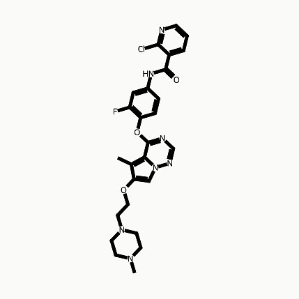 Cc1c(OCCN2CCN(C)CC2)cn2ncnc(Oc3ccc(NC(=O)c4cccnc4Cl)cc3F)c12